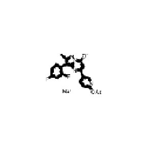 CC(=O)Oc1ccc(-c2cc([O-])n3nc(C)c(-c4ccc(F)cc4F)c3n2)cn1.[Na+]